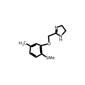 CSc1ccc(C)cc1OCC1=NCCN1